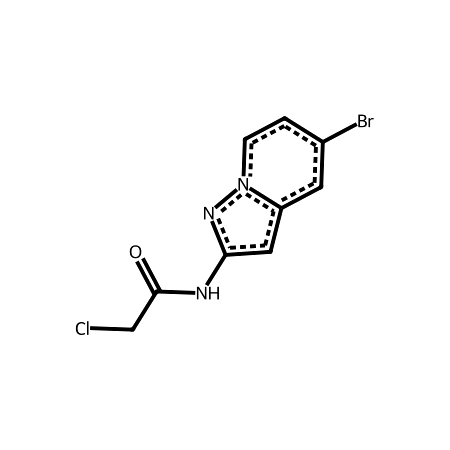 O=C(CCl)Nc1cc2cc(Br)ccn2n1